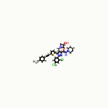 Cc1ccc(C#Cc2ccc(-c3c(CN4CC(O)C4)c(C(=O)NN4CCCCC4)nn3-c3ccc(Cl)cc3Cl)s2)cc1